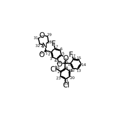 O=C(c1cc2c(cc1F)OC(c1ccccc1F)(c1ccc(Cl)cc1Cl)O2)N1CCOCC1